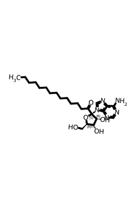 CCCCCCCCCCCCCC(=O)[C@@]1(n2cnc3c(N)ncnc32)O[C@H](CO)[C@@H](O)[C@H]1O